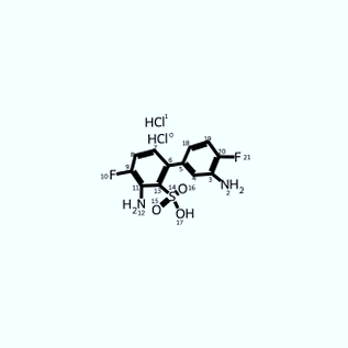 Cl.Cl.Nc1cc(-c2ccc(F)c(N)c2S(=O)(=O)O)ccc1F